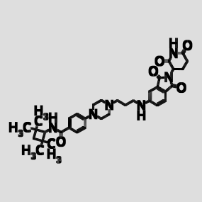 CC1(C)CC(C)(C)C1NC(=O)c1ccc(N2CCN(CCCNc3ccc4c(c3)C(=O)N(C3CCC(=O)NC3=O)C4=O)CC2)cc1